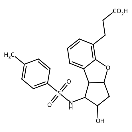 Cc1ccc(S(=O)(=O)NC2C(O)CC3Oc4c(CCC(=O)O)cccc4C32)cc1